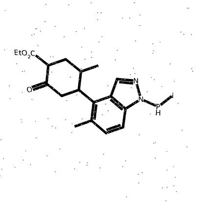 CCOC(=O)C1CC(C)C(c2c(C)ccc3c2cnn3PI)CC1=O